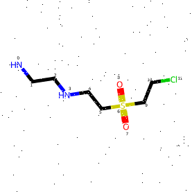 [NH]CCNCCS(=O)(=O)CCCl